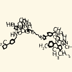 CC1=NNC2C(CC(=O)NC(C)c3ccc(-c4ccn(CCCCOCC(=O)N[C@H](C(=O)N5CC(O)C[C@H]5C(=O)NCc5ccc(C6=C(C)CCC6)cc5)C(C)(C)C)c4)cc3)N=C(c3ccc(C)cc3)C3=C(CC(C)=C3C)N12